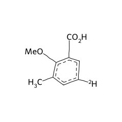 [2H]c1cc(C)c(OC)c(C(=O)O)c1